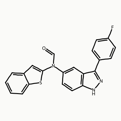 O=CN(c1ccc2[nH]nc(-c3ccc(F)cc3)c2c1)c1cc2ccccc2s1